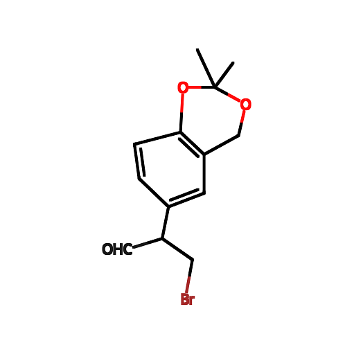 CC1(C)OCc2cc(C(C=O)CBr)ccc2O1